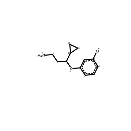 CNCCC(Oc1cccc(Cl)c1)C1CC1